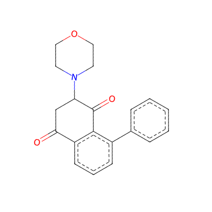 O=C1CC(N2CCOCC2)C(=O)c2c1cccc2-c1ccccc1